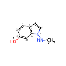 CNn1ccc2ccc(O)cc21